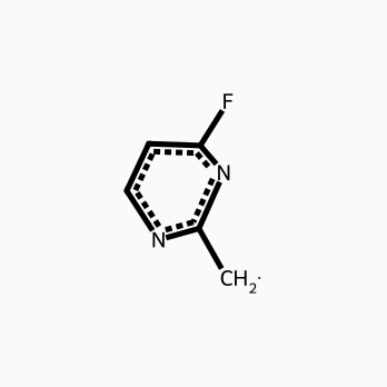 [CH2]c1nccc(F)n1